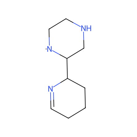 C1=NC(C2CNCC[N]2)CCC1